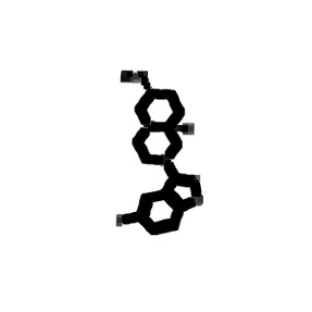 CN[C@@H]1CC[C@H]2CN(c3noc4ccc(F)cc34)CCN2C1